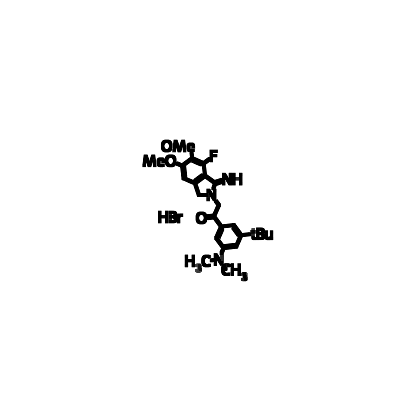 Br.COc1cc2c(c(F)c1OC)C(=N)N(CC(=O)c1cc(N(C)C)cc(C(C)(C)C)c1)C2